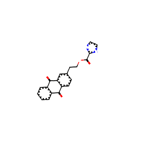 O=C(OCCc1ccc2c(c1)C(=O)c1ccccc1C2=O)c1ncc[nH]1